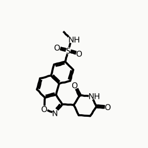 CNS(=O)(=O)c1ccc2c(ccc3onc(C4CCC(=O)NC4=O)c32)c1